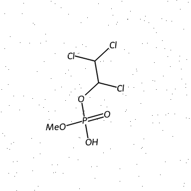 COP(=O)(O)OC(Cl)C(Cl)Cl